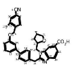 N#Cc1ccc(COc2cccc(-c3ccc(Cc4nc5ccc(C(=O)O)cc5n4CC4CCCO4)cc3)c2)c(F)c1